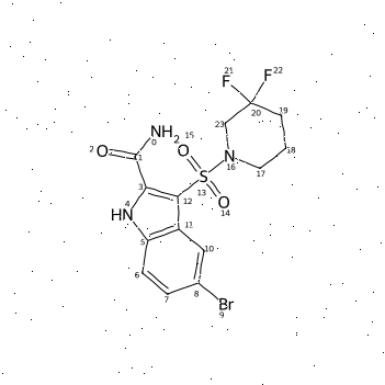 NC(=O)c1[nH]c2ccc(Br)cc2c1S(=O)(=O)N1CCCC(F)(F)C1